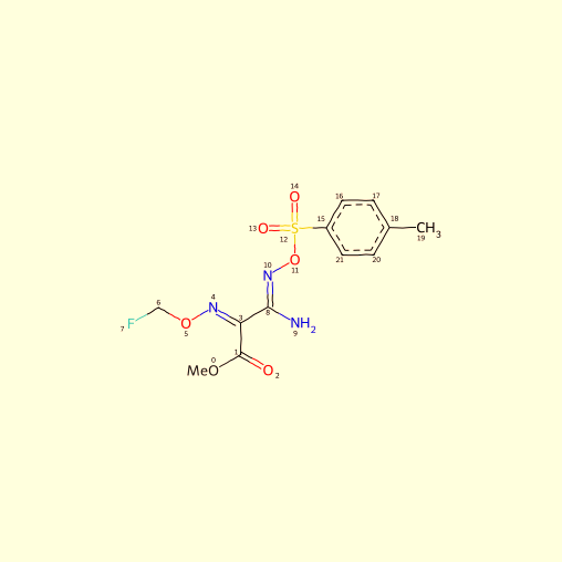 COC(=O)C(=NOCF)C(N)=NOS(=O)(=O)c1ccc(C)cc1